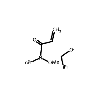 C=CC(=O)N(CCC)OC.CC(C)C[O]